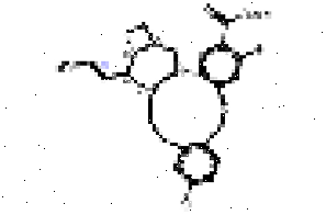 CCC/C=C/[C@H](O)[C@@H]1CC[C@H]1CN1CCCCc2cc(Cl)ccc2COc2cc(F)c(C(=O)OC)cc21